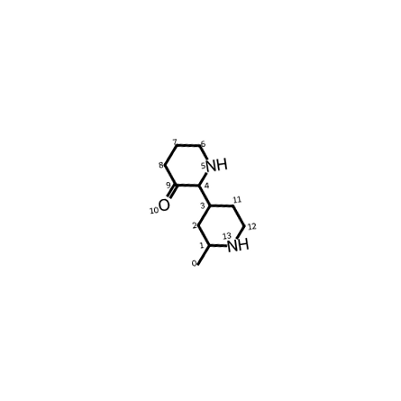 CC1CC(C2NCCCC2=O)CCN1